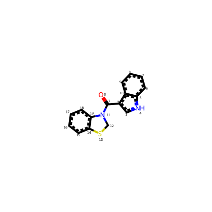 O=C(c1c[nH]c2ccccc12)N1CSc2ccccc21